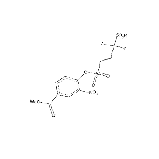 COC(=O)c1ccc(OS(=O)(=O)CCC(F)(F)S(=O)(=O)O)c([N+](=O)[O-])c1